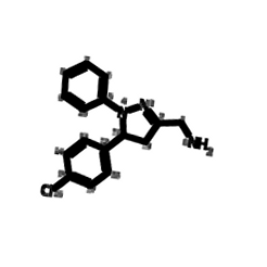 NCC1=NN(c2ccccc2)C(c2ccc(Cl)cc2)C1